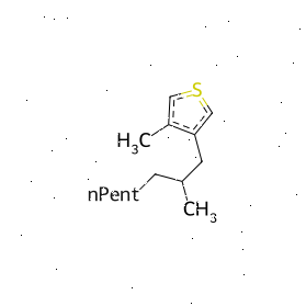 CCCCCCC(C)Cc1cscc1C